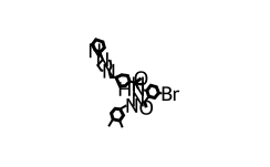 Cc1ccc(C=NNC(=O)c2cc(Br)ccc2NC(=O)c2ccc(CN3CCN(c4ccccn4)CC3)cc2)cc1C